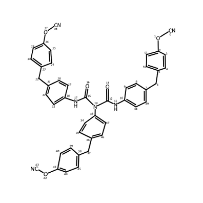 N#COc1ccc(Cc2ccc(NC(=O)N(C(=O)Nc3ccc(Cc4ccc(OC#N)cc4)cc3)c3ccc(Cc4ccc(OC#N)cc4)cc3)cc2)cc1